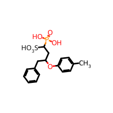 Cc1ccc(OC(Cc2ccccc2)CC(P(=O)(O)O)S(=O)(=O)O)cc1